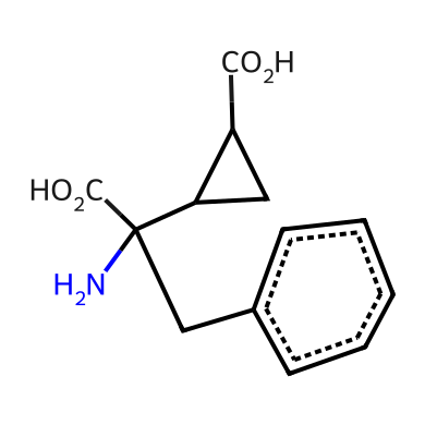 NC(Cc1ccccc1)(C(=O)O)C1CC1C(=O)O